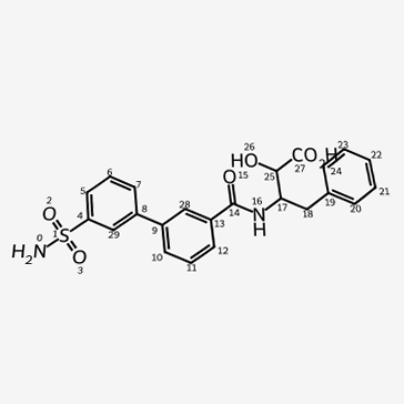 NS(=O)(=O)c1cccc(-c2cccc(C(=O)NC(Cc3ccccc3)C(O)C(=O)O)c2)c1